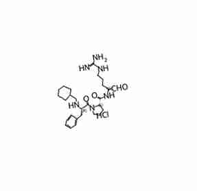 Cl.N=C(N)NCCC[C@@H](C=O)NC(=O)[C@@H]1CCCN1C(=O)[C@@H](Cc1ccccc1)NCC1CCCCC1